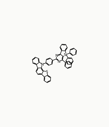 c1ccc(-c2nc(-c3ccc(-n4c5ccccc5c5ccc6c7ccccc7sc6c54)cc3)nc3c2[Si](c2ccccc2)(c2ccccc2)c2ccccc2-3)cc1